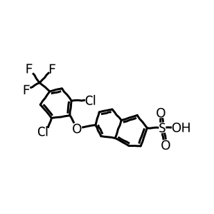 O=S(=O)(O)c1ccc2cc(Oc3c(Cl)cc(C(F)(F)F)cc3Cl)ccc2c1